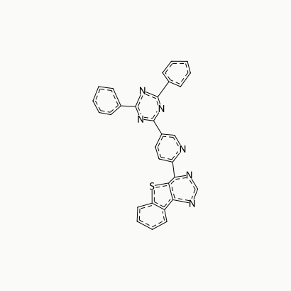 c1ccc(-c2nc(-c3ccccc3)nc(-c3ccc(-c4ncnc5c4sc4ccccc45)nc3)n2)cc1